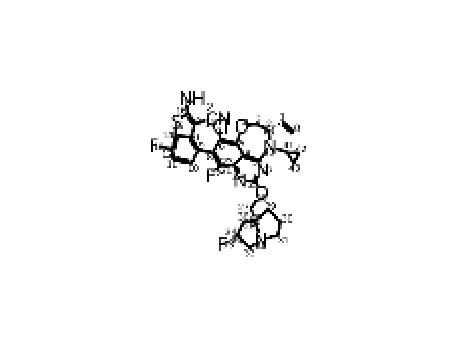 C=C[C@H]1COc2c(Cl)c(-c3ccc(F)c4sc(N)c(C#N)c34)c(F)c3nc(OC[C@@]45CCCN4C[C@H](F)C5)nc(c23)N1C1CC1